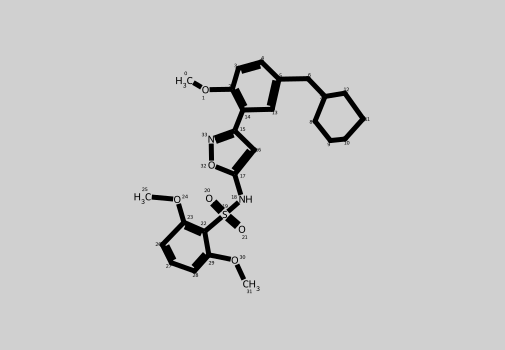 COc1ccc(CC2CCCCC2)cc1-c1cc(NS(=O)(=O)c2c(OC)cccc2OC)on1